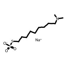 CN(C)CCCCCCCCCSS(=O)(=O)[O-].[Na+]